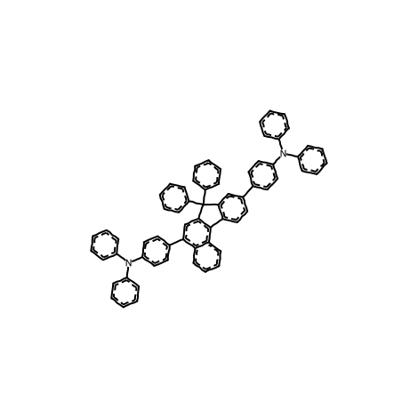 c1ccc(N(c2ccccc2)c2ccc(-c3ccc4c(c3)C(c3ccccc3)(c3ccccc3)c3cc(-c5ccc(N(c6ccccc6)c6ccccc6)cc5)c5ccccc5c3-4)cc2)cc1